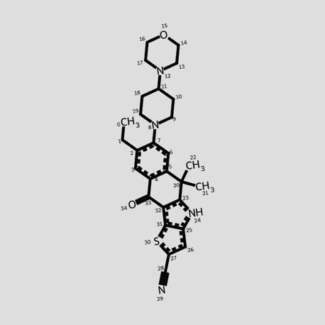 CCc1cc2c(cc1N1CCC(N3CCOCC3)CC1)C(C)(C)c1[nH]c3cc(C#N)sc3c1C2=O